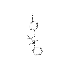 C[Si](C)(c1ccccc1)C1(Cc2ccc(F)cc2)CC1